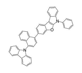 c1ccc(-n2c3ccccc3c3c4ccc(-c5ccc(-n6c7ccccc7c7ccccc76)c6ccccc56)cc4oc32)cc1